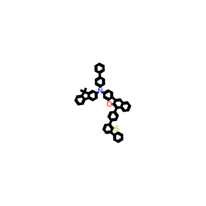 CC1(C)c2ccccc2-c2ccc(N(c3ccc(-c4ccccc4)cc3)c3ccc4c(c3)oc3c(-c5ccc(-c6cccc7c6sc6ccccc67)cc5)c5ccccc5cc34)cc21